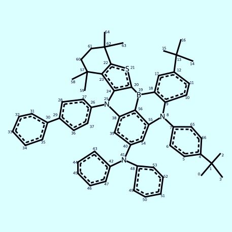 CC(C)(C)c1ccc(N2c3ccc(C(C)(C)C)cc3B3c4sc5c(c4N(c4ccc(-c6ccccc6)cc4)c4cc(N(c6ccccc6)c6ccccc6)cc2c43)C(C)(C)CCC5(C)C)cc1